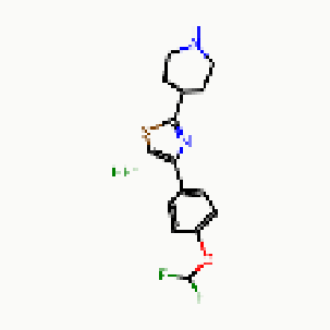 Br.FC(F)Oc1ccc(-c2csc(C3CCNCC3)n2)cc1